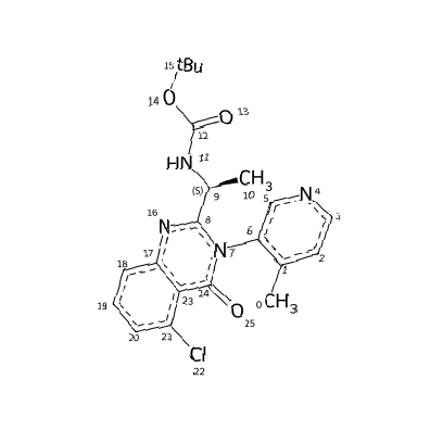 Cc1ccncc1-n1c([C@H](C)NC(=O)OC(C)(C)C)nc2cccc(Cl)c2c1=O